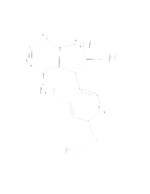 COc1ccc(-c2c(C)[nH]c3ncnc(N)c23)cn1